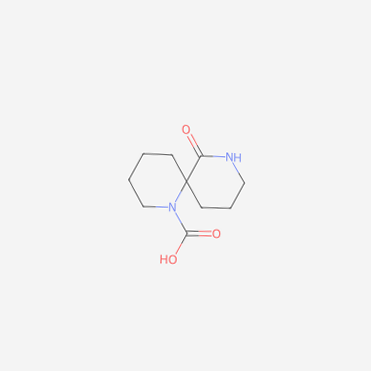 O=C(O)N1CCCCC12CCCNC2=O